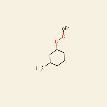 CCCOOC1CCCC(C)C1